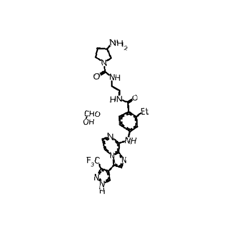 CCc1cc(Nc2nccn3c(-c4c[nH]nc4C(F)(F)F)cnc23)ccc1C(=O)NCCNC(=O)N1CCC(N)C1.O=CO